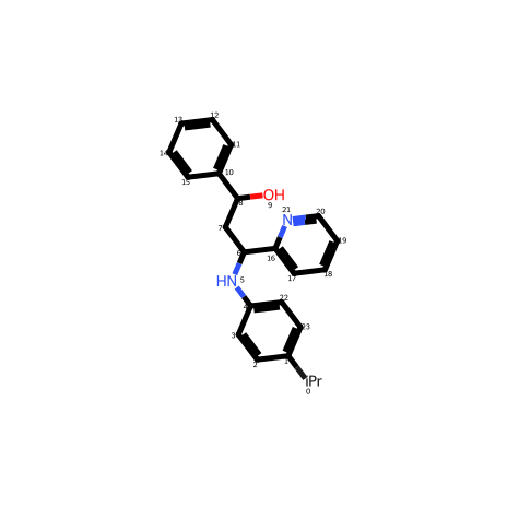 CC(C)c1ccc(NC(CC(O)c2ccccc2)c2ccccn2)cc1